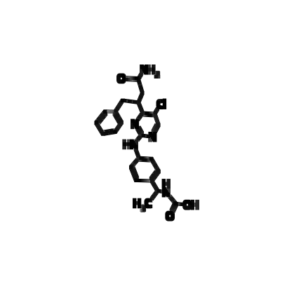 CC(NC(=O)O)c1ccc(Nc2ncc(Cl)c(C(CC(N)=O)Cc3ccccc3)n2)cc1